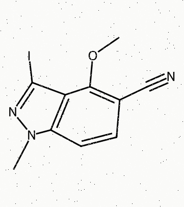 COc1c(C#N)ccc2c1c(I)nn2C